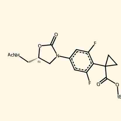 CC(=O)NC[C@H]1CN(c2cc(F)c(C3(C(=O)OC(C)(C)C)CC3)c(F)c2)C(=O)O1